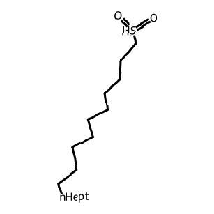 CCCCCCCCCCCCCCCCC[SH](=O)=O